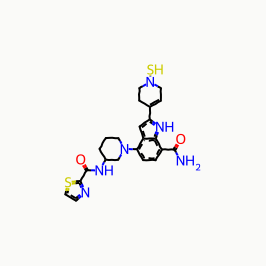 NC(=O)c1ccc(N2CCCC(NC(=O)c3nccs3)C2)c2cc(C3=CCN(S)CC3)[nH]c12